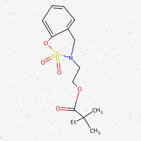 CCC(C)(C)C(=O)OCCN1Cc2ccccc2OS1(=O)=O